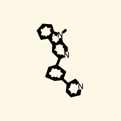 Cn1c2ccccc2c2cc(-c3cccc(-c4cccnc4)c3)ncc21